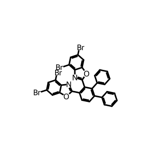 Brc1cc(Br)c2nc(-c3ccc(-c4ccccc4)c(-c4ccccc4)c3-c3nc4c(Br)cc(Br)cc4o3)oc2c1